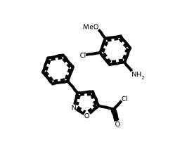 COc1ccc(N)cc1Cl.O=C(Cl)c1cc(-c2ccccc2)no1